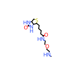 CNCCOCCNC(=O)CCCCC1SCC2NC(=O)NC21